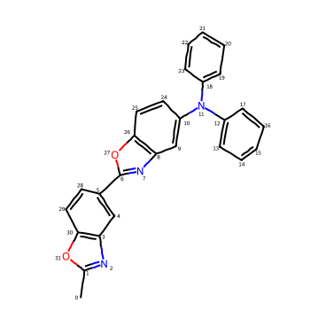 Cc1nc2cc(-c3nc4cc(N(c5ccccc5)c5ccccc5)ccc4o3)ccc2o1